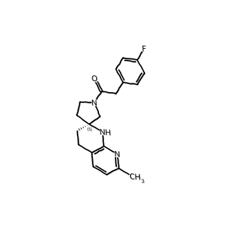 Cc1ccc2c(n1)N[C@@]1(CC2)CCN(C(=O)Cc2ccc(F)cc2)C1